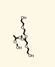 CC(Cl)Cl.CO.CO.OCCOCCOCCOCCO